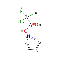 O=C(O[n+]1ccccc1)C(F)(F)Cl